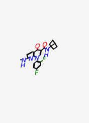 CNc1ccc2c(=O)c(C(=O)NC34CCC3CC4)cn(-c3ccc(F)cc3F)c2n1